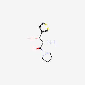 N[C@H](C(=O)N1CCCC1)[C@@H](O)c1ccsc1